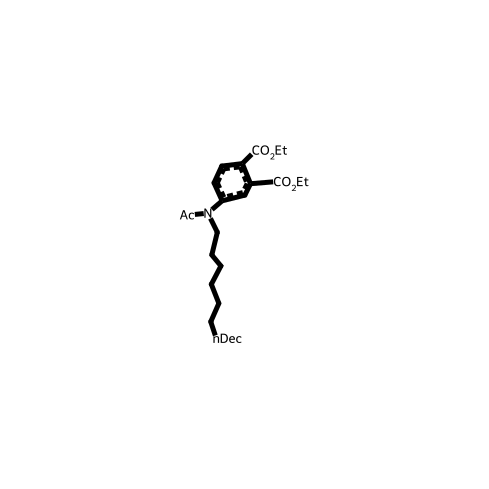 CCCCCCCCCCCCCCCCN(C(C)=O)c1ccc(C(=O)OCC)c(C(=O)OCC)c1